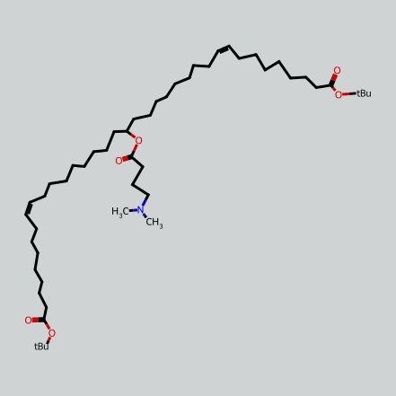 CN(C)CCCC(=O)OC(CCCCCCCC/C=C\CCCCCCCC(=O)OC(C)(C)C)CCCCCCCC/C=C\CCCCCCCC(=O)OC(C)(C)C